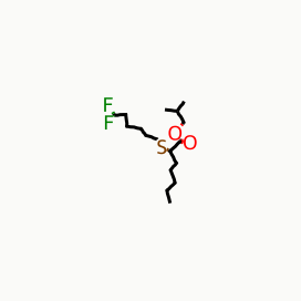 CCCCCC(SCCCCCC(F)F)C(=O)OCC(C)C